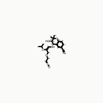 CC(C)O/C(=C/N[C@H]1c2cc(C#N)ccc2OC(C)(C)[C@@H]1O)COCC=C=O